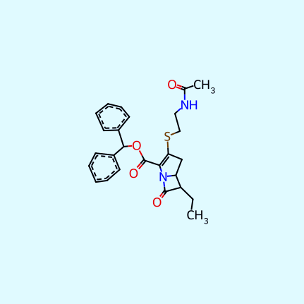 CCC1C(=O)N2C(C(=O)OC(c3ccccc3)c3ccccc3)=C(SCCNC(C)=O)CC12